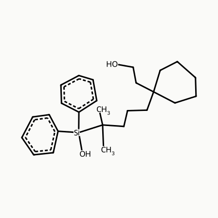 CC(C)(CCCC1(CCO)CCCCC1)[Si](O)(c1ccccc1)c1ccccc1